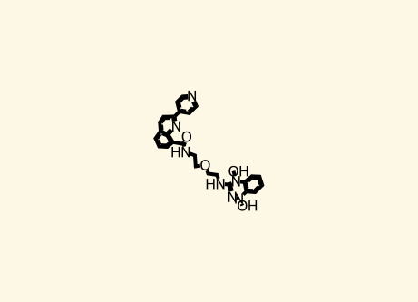 O=C(NCCOCCNC1=NN(O)c2ccccc2N1O)c1cccc2ccc(-c3ccncc3)nc12